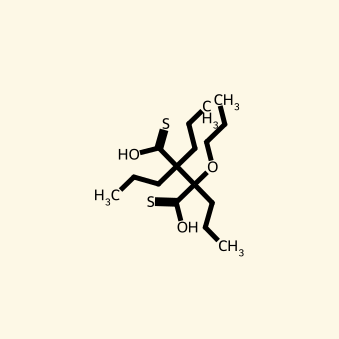 CCCOC(CCC)(C(O)=S)C(CCC)(CCC)C(O)=S